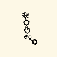 CC(C)(C)OC(=O)C1CCC(N2CCN(C(=O)OCc3ccccc3)CC2)CC1